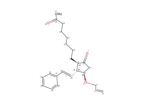 C=CCO[C@@H]1CC(=O)[C@H](CCCCCCC(=O)OC)[C@H]1/C=C/c1ccccc1